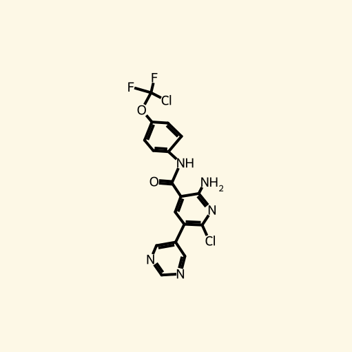 Nc1nc(Cl)c(-c2cncnc2)cc1C(=O)Nc1ccc(OC(F)(F)Cl)cc1